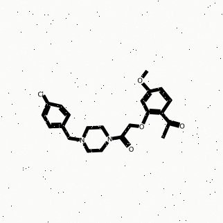 COc1ccc(C(C)=O)c(OCC(=O)N2CCN(Cc3ccc(Cl)cc3)CC2)c1